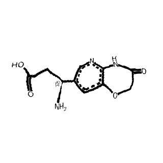 N[C@@H](CC(=O)O)c1cnc2c(c1)OCC(=O)N2